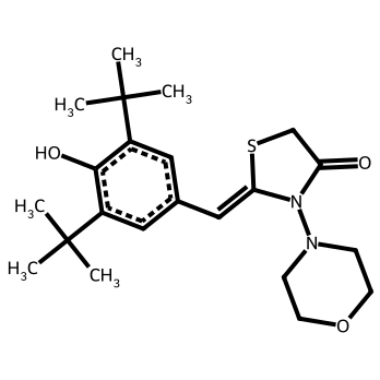 CC(C)(C)c1cc(C=C2SCC(=O)N2N2CCOCC2)cc(C(C)(C)C)c1O